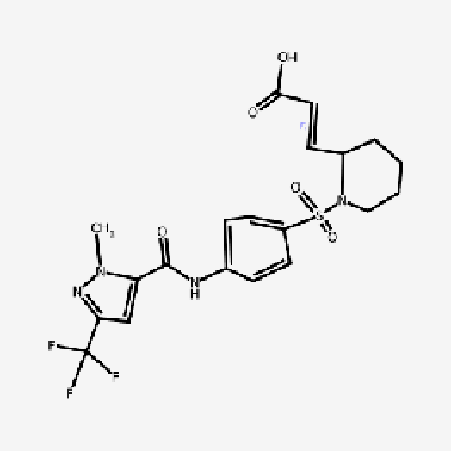 Cn1nc(C(F)(F)F)cc1C(=O)Nc1ccc(S(=O)(=O)N2CCCCC2/C=C/C(=O)O)cc1